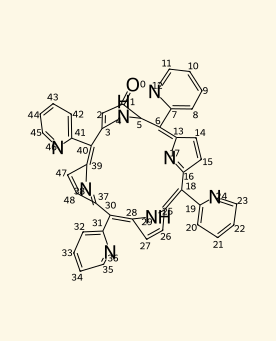 O=C1C=C2NC1C(c1ccccn1)=C1C=CC(=N1)C(c1ccccn1)=c1ccc([nH]1)=C(c1ccccn1)C1=NC(=C2c2ccccn2)C=C1